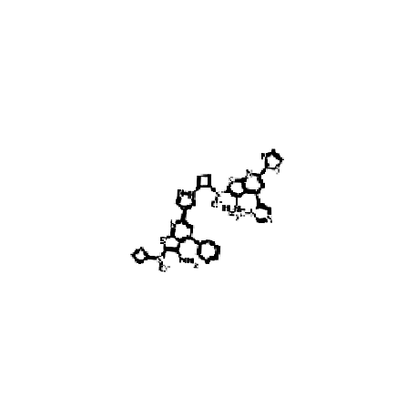 Cn1cncc1-c1cc(-c2nccs2)nc2sc([S+]([O-])C3CCC3n3cc(-c4cc(-c5ccccc5)c5c(N)c([S+]([O-])C6CCC6)sc5n4)cn3)c(N)c12